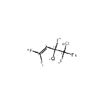 FC(F)=CC(F)(Cl)C(F)(F)Cl